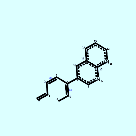 C=C/C=C\C(=C/C)c1cnc2ncccc2c1